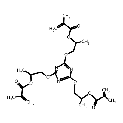 C=C(C)C(=O)OC(C)COc1nc(OCC(C)OC(=O)C(=C)C)nc(OCC(C)OC(=O)C(=C)C)n1